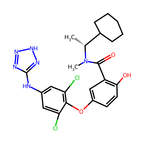 C[C@H](C1CCCCC1)N(C)C(=O)c1cc(Oc2c(Cl)cc(Nc3nn[nH]n3)cc2Cl)ccc1O